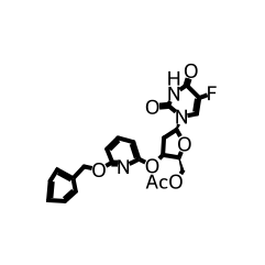 CC(=O)OC[C@@H]1O[C@H](n2cc(F)c(=O)[nH]c2=O)CC1Oc1cccc(OCc2ccccc2)n1